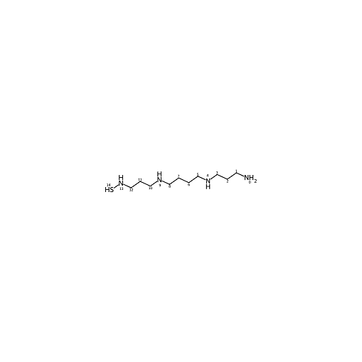 NCCCNCCCCNCCCNS